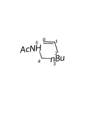 C=CC.CCCCCNC(C)=O